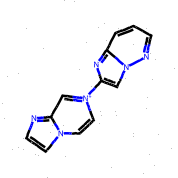 c1cnn2cc(-[n+]3ccn4ccnc4c3)nc2c1